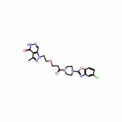 Cc1nn(CCOCCC(=O)N2CCN(c3nc4cc(Cl)ccc4o3)CC2)c2cn[nH]c(=O)c12